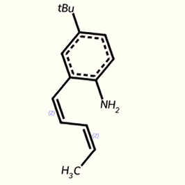 C/C=C\C=C/c1cc(C(C)(C)C)ccc1N